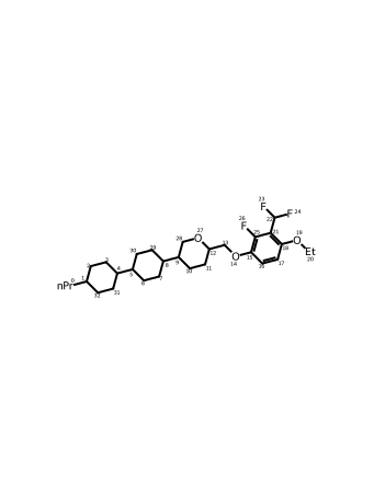 CCCC1CCC(C2CCC(C3CCC(COc4ccc(OCC)c(C(F)F)c4F)OC3)CC2)CC1